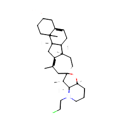 CC1=C2C[C@H]3[C@@H](CC=C4C[C@@H](O)CCC43C)[C@@H]2CC[C@@]2(C1)O[C@@H]1C[C@H](C)CN(CCCl)[C@H]1[C@H]2C